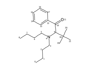 CCCCN(CCCC)C(C(=O)c1ccccc1)C(C)(C)C